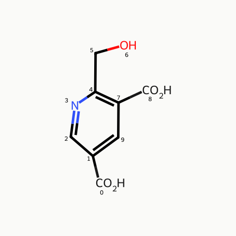 O=C(O)c1cnc(CO)c(C(=O)O)c1